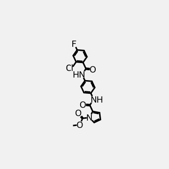 COC(=O)n1cccc1C(=O)Nc1ccc(NC(=O)c2ccc(F)cc2Cl)cc1